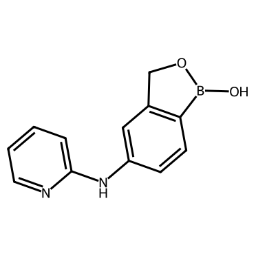 OB1OCc2cc(Nc3ccccn3)ccc21